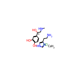 CNC[C@H](O)c1ccc(O)c(O)c1.Cl.NCCc1c[nH]cn1.[CaH2]